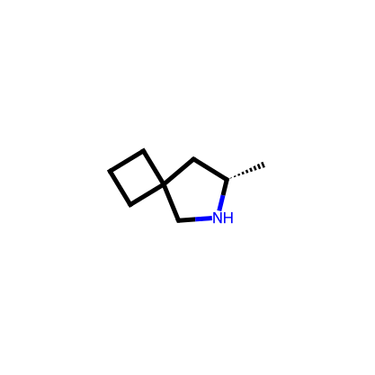 C[C@H]1CC2(CCC2)CN1